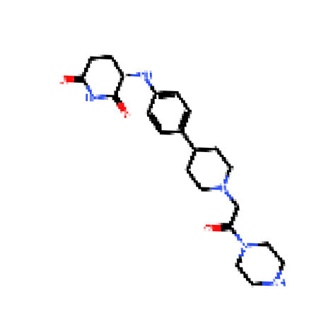 O=C1CC[C@@H](Nc2ccc(C3CCN(CC(=O)N4CCNCC4)CC3)cc2)C(=O)N1